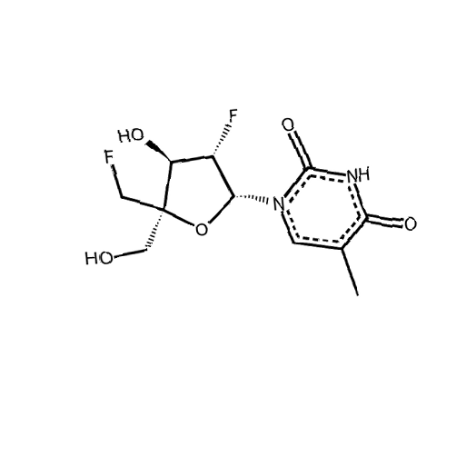 Cc1cn([C@@H]2O[C@@](CO)(CF)[C@@H](O)[C@@H]2F)c(=O)[nH]c1=O